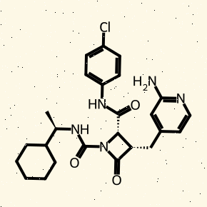 C[C@@H](NC(=O)N1C(=O)[C@@H](Cc2ccnc(N)c2)[C@H]1C(=O)Nc1ccc(Cl)cc1)C1CCCCC1